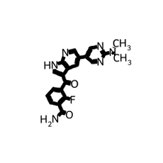 CN(C)c1ncc(-c2cnc3[nH]cc(C(=O)c4cccc(C(N)=O)c4F)c3c2)cn1